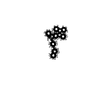 c1ccc2c(c1)-c1ccccc1C21c2ccccc2-c2cc3c(-c4ccc(-c5ccc6ccccc6c5)cc4)nc4ccccc4c3cc21